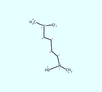 CN(S)CCCC[S+](C)[O-]